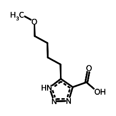 COCCCCc1[nH]nnc1C(=O)O